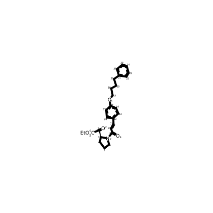 CCOC(=O)C(=O)[C@@H]1CCCN1C(=O)C=Cc1ccc(OCCCCc2ccccc2)cc1